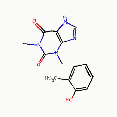 Cn1c(=O)c2[nH]cnc2n(C)c1=O.O=C(O)c1ccccc1O